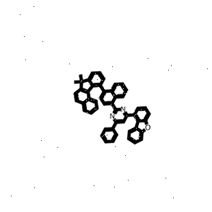 CC1(C)c2cccc(-c3ccc(-c4nc(-c5ccccc5)cc(-c5cccc6oc7ccccc7c56)n4)c4ccccc34)c2-c2c1ccc1ccccc21